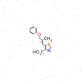 C/C(=C\c1scnc1C(=O)O)COc1ccccc1